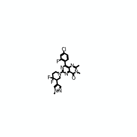 Cc1nc2c(-c3ccc(Cl)cc3F)nc(N3CCC(F)(F)C(c4cnn(C)c4)C3)nc2c(=O)n1C